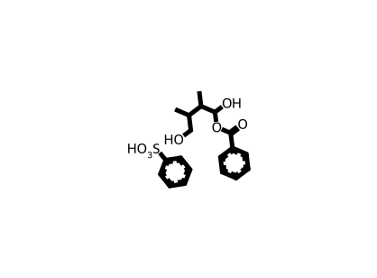 CC(CO)C(C)C(O)OC(=O)c1ccccc1.O=S(=O)(O)c1ccccc1